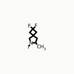 CC1CC2(CN1I)CC(F)(F)C2